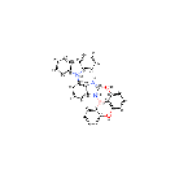 c1ccc2c(c1)Oc1cccc3c1B2n1c(nc2c(-n4c5ccccc5c5ccccc54)cccc21)O3